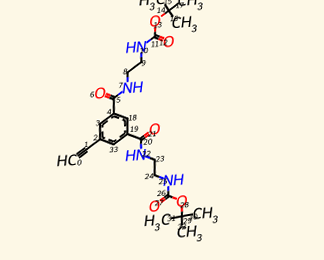 C#Cc1cc(C(=O)NCCNC(=O)OC(C)(C)C)cc(C(=O)NCCNC(=O)OC(C)(C)C)c1